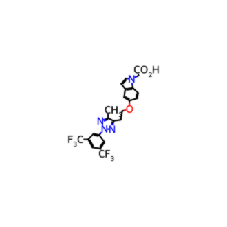 Cc1nn(-c2cc(C(F)(F)F)cc(C(F)(F)F)c2)nc1CCOc1ccc2c(ccn2CC(=O)O)c1